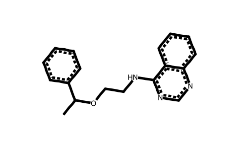 CC(OCCNc1ncnc2ccccc12)c1ccccc1